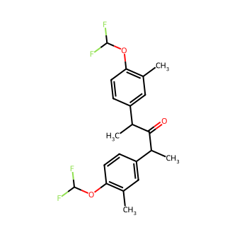 Cc1cc(C(C)C(=O)C(C)c2ccc(OC(F)F)c(C)c2)ccc1OC(F)F